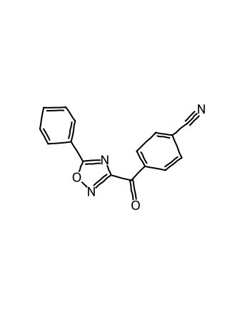 N#Cc1ccc(C(=O)c2noc(-c3ccccc3)n2)cc1